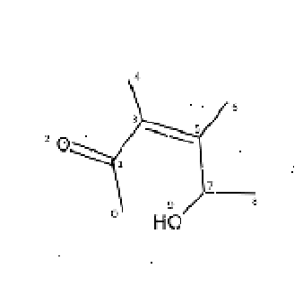 CC(=O)C(C)=C(C)C(C)O